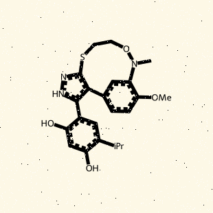 COc1ccc2cc1N(C)OCCSc1n[nH]c(-c3cc(C(C)C)c(O)cc3O)c1-2